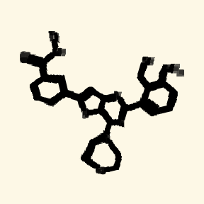 CCNC(=O)C1=CC(c2cc3nc(-c4cccc(N)c4C=N)nc(N4CCOCC4)c3s2)CC=C1